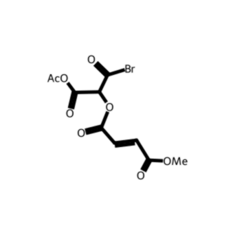 COC(=O)C=CC(=O)OC(C(=O)Br)C(=O)OC(C)=O